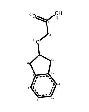 O=C(O)COC1Cc2ccccc2C1